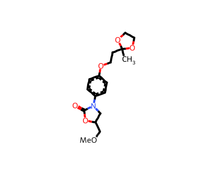 COCC1CN(c2ccc(OCCC3(C)OCCO3)cc2)C(=O)O1